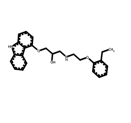 CCc1ccccc1OCCNCC(O)COc1cccc2[nH]c3ccccc3c12